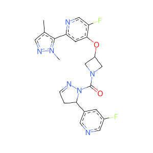 Cc1cnn(C)c1-c1cc(OC2CN(C(=O)N3N=CCC3c3cncc(F)c3)C2)c(F)cn1